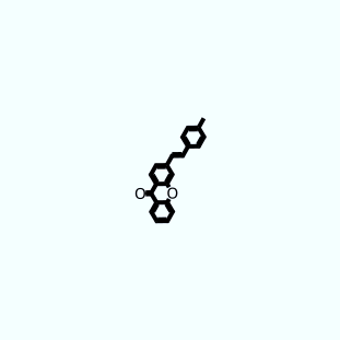 Cc1ccc(C=Cc2ccc3c(=O)c4ccccc4oc3c2)cc1